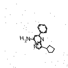 Nc1cc(-c2ccccc2)nc2c(C3CCCC3)cnn12